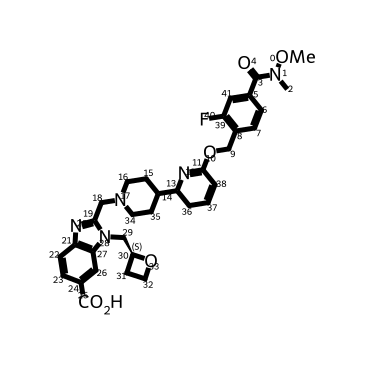 CON(C)C(=O)c1ccc(COC2=NC(C3CCN(Cc4nc5ccc(C(=O)O)cc5n4C[C@@H]4CCO4)CC3)CC=C2)c(F)c1